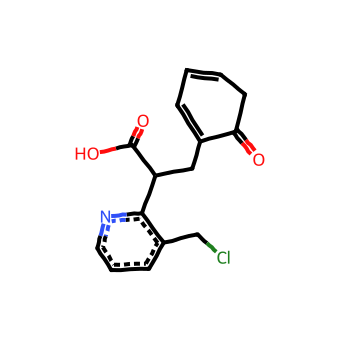 O=C1CC=CC=C1CC(C(=O)O)c1ncccc1CCl